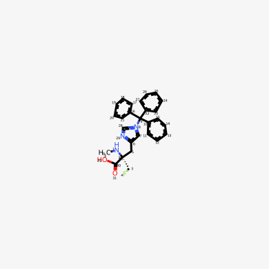 CN[C@@](CF)(Cc1cn(C(c2ccccc2)(c2ccccc2)c2ccccc2)cn1)C(=O)O